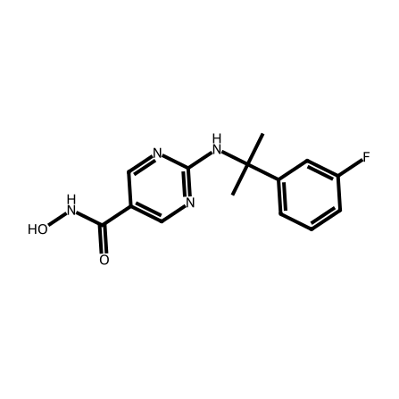 CC(C)(Nc1ncc(C(=O)NO)cn1)c1cccc(F)c1